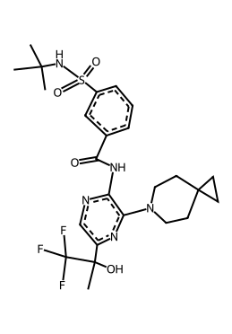 CC(C)(C)NS(=O)(=O)c1cccc(C(=O)Nc2ncc(C(C)(O)C(F)(F)F)nc2N2CCC3(CC2)CC3)c1